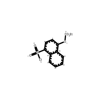 CCOC(=O)Oc1ccc(S(=O)(=O)Cl)c2ccccc12